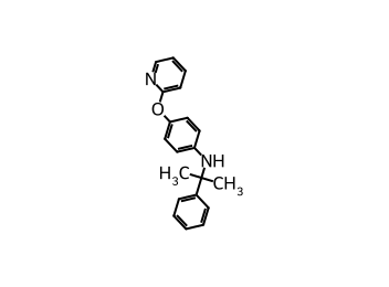 CC(C)(Nc1ccc(Oc2ccccn2)cc1)c1ccccc1